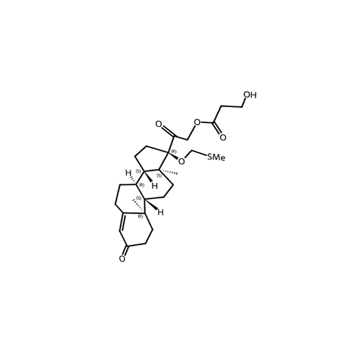 CSCO[C@]1(C(=O)COC(=O)CCO)CC[C@H]2[C@@H]3CCC4=CC(=O)CC[C@]4(C)[C@H]3CC[C@@]21C